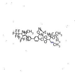 C/C=C/C(C(=O)OCN(C(=O)c1cc(-c2cnn(-c3c(C(F)(F)F)c(C(F)(F)C(F)(F)F)nn3C)c2)ccc1Cl)C1(C#N)CC1)C(=O)OC(C)(C)C